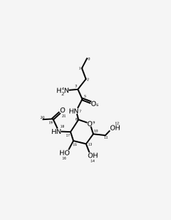 CCCC(N)C(=O)NC1OC(CO)C(O)C(O)C1NC(C)=O